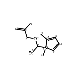 C=C(C)COC(CC)[Si]1(C)C=CC=C1C